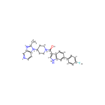 Cc1nc2cnccc2n1C1CCN(C(=O)c2c[nH]c3cc(-c4ccc(F)cc4)ccc23)CC1